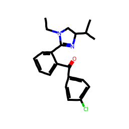 CCN1CC(C(C)C)N=C1c1ccccc1C(=O)c1ccc(Cl)cc1